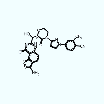 N#Cc1ccc(-n2ccc(N3CCO[C@H](C(O)c4nc(=O)c5c(ccc6c(N)nsc65)[nH]4)C3=O)n2)cc1C(F)(F)F